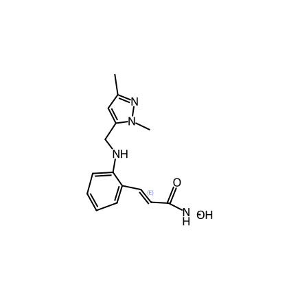 Cc1cc(CNc2ccccc2/C=C/C(=O)NO)n(C)n1